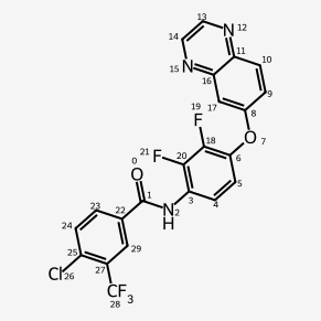 O=C(Nc1ccc(Oc2ccc3nccnc3c2)c(F)c1F)c1ccc(Cl)c(C(F)(F)F)c1